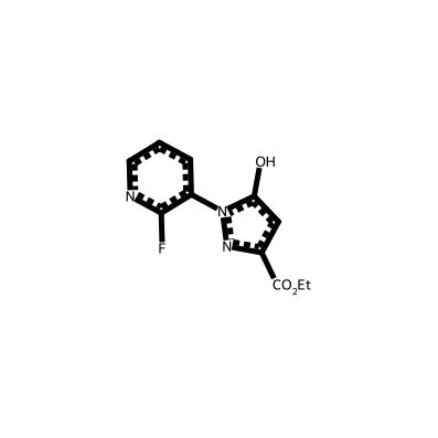 CCOC(=O)c1cc(O)n(-c2cccnc2F)n1